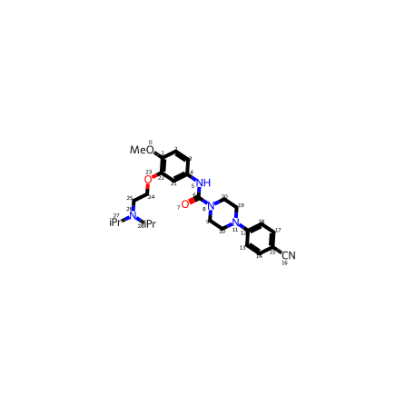 COc1ccc(NC(=O)N2CCN(c3ccc(C#N)cc3)CC2)cc1OCCN(C(C)C)C(C)C